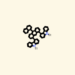 CCn1c2ccccc2c2c(-c3cccc4c(-c5cccc6ccccc56)c5cccc(-c6cccc7c6c6ccccc6n7CC)c5cc34)cccc21